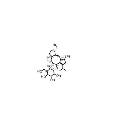 CC(C)C1=C2[C@@H](O[C@H]3O[C@H](CO)C(O)C(O)C3O)[C@H](O)[C@H](C)[C@@H]3CC[C@H](CO)/C3=C/[C@@]2(C)[C@@H](O)C1